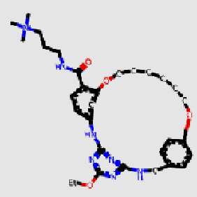 CCOc1nc2nc(n1)Nc1ccc(C(=O)NCCC[N+](C)(C)C)c(c1)OCCCCCCOc1ccc(cc1)CN2